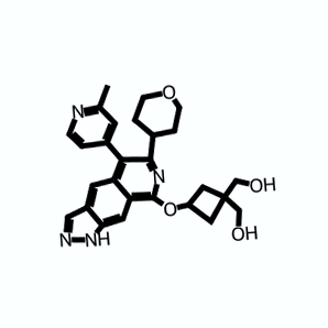 Cc1cc(-c2c(C3CCOCC3)nc(OC3CC(CO)(CO)C3)c3cc4[nH]ncc4cc23)ccn1